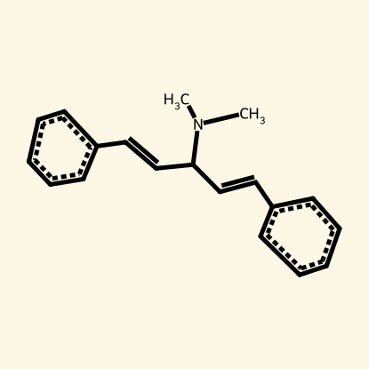 CN(C)C(C=Cc1ccccc1)C=Cc1ccccc1